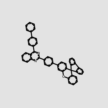 c1ccc(-c2ccc(-c3nc(-c4ccc(-c5ccc6c(c5)Oc5ccccc5C65c6ccccc6-c6ccccc65)cc4)nc4ccccc34)cc2)cc1